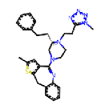 Cc1cc2c(s1)Cc1ccccc1N=C2N1CCN(CCc2nnnn2C)[C@@H](CCc2ccccc2)C1